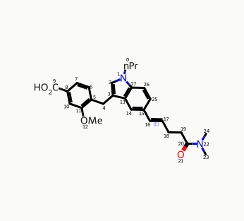 CCCn1cc(Cc2ccc(C(=O)O)cc2OC)c2cc(/C=C/CCC(=O)N(C)C)ccc21